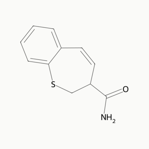 NC(=O)C1C=Cc2ccccc2SC1